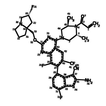 C=CC(=O)N1[C@H](C)CN(c2nc(OC[C@@]34CCCN3C[C@H](F)C4)nc3c(F)c(-c4ccc(F)c5sc(N)c(C#N)c45)c(C(F)(F)F)cc23)C[C@H]1C